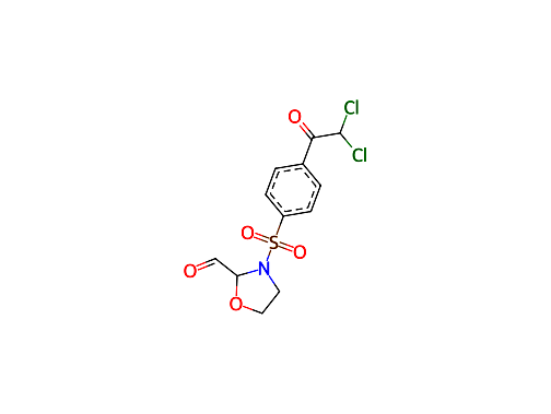 O=CC1OCCN1S(=O)(=O)c1ccc(C(=O)C(Cl)Cl)cc1